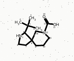 CC(C)(C)C1NCCC12CCCN(C(=O)O)C2